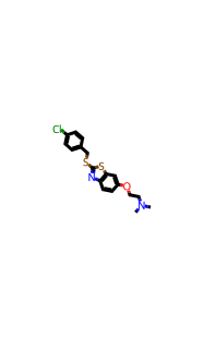 CN(C)CCOc1ccc2nc(SCc3ccc(Cl)cc3)sc2c1